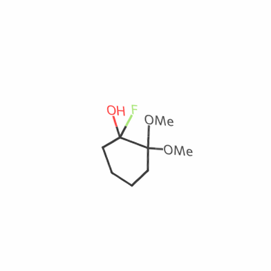 COC1(OC)CCCCC1(O)F